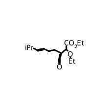 CCOC(=O)C(OCC)C(=C=O)CCC=CC(C)C